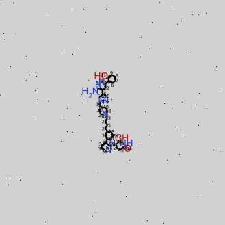 Nc1nnc(-c2ccccc2O)cc1-c1cnn(CC2CCN(CCCCc3ccc4c(c3)c3cccnc3n4C3CCC(=O)NC3O)CC2)c1